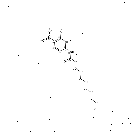 CCCCCCCCOCC(=O)Nc1ccc([N+](=O)[O-])c(Cl)c1